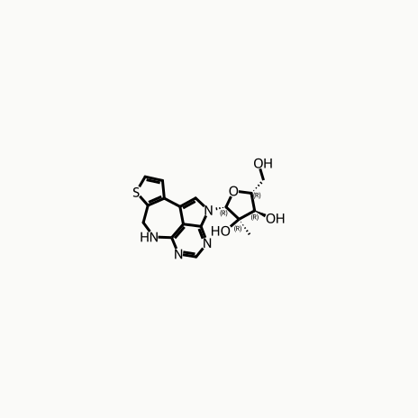 C[C@@]1(O)[C@H](O)[C@@H](CO)O[C@H]1n1cc2c3c(ncnc31)NCc1sccc1-2